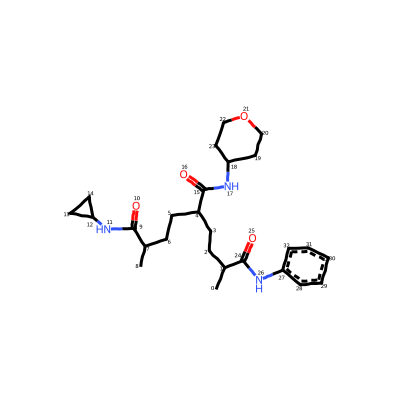 CC(CCC(CCC(C)C(=O)NC1CC1)C(=O)NC1CCOCC1)C(=O)Nc1ccccc1